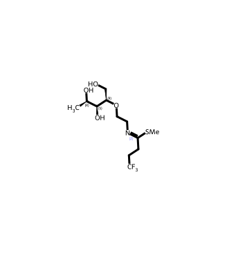 CS/C(CCC(F)(F)F)=N\CCO[C@H](CO)[C@@H](O)[C@@H](C)O